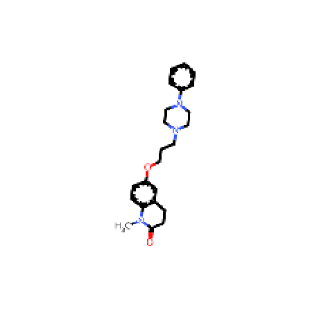 CN1C(=O)CCc2cc(OCCCN3CCN(c4ccccc4)CC3)ccc21